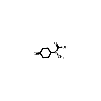 CN(C(=O)O)C1CCC(=O)CC1